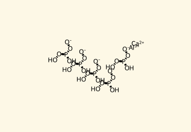 [Al+3].[Ca+2].[O-]OP(O)OO.[O-]OP(O)OO.[O-]OP(O)OO.[O-]OP(O)OO.[O-]OP(O)OO